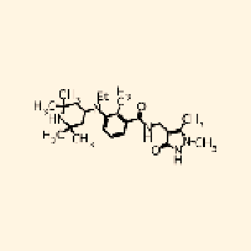 CCN(c1cccc(C(=O)NCc2c(C)n(C)[nH]c2=O)c1C)C1CC(C)(C)NC(C)(C)C1